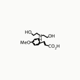 COc1ccc(C=CC(=O)O)cc1.OCCNCCO